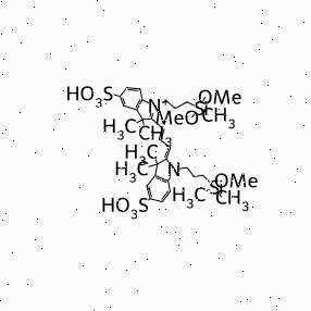 CO[Si](C)(C)CCCN1/C(=C/C=C/C2=[N+](CCC[Si](C)(OC)OC)c3ccc(S(=O)(=O)O)cc3C2(C)C)C(C)(C)c2cc(S(=O)(=O)O)ccc21